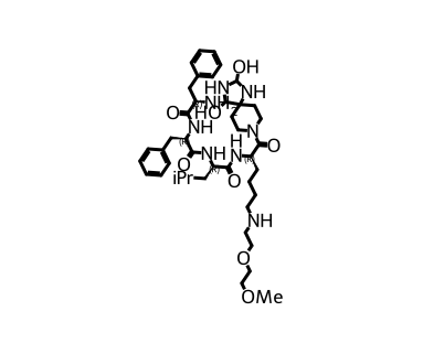 COCCOCCNCCCC[C@@H](NC(=O)[C@@H](CC(C)C)NC(=O)[C@@H](Cc1ccccc1)NC(=O)[C@H](N)Cc1ccccc1)C(=O)N1CCC2(CC1)NC(O)NC2O